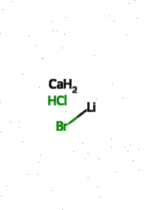 Cl.[CaH2].[Li][Br]